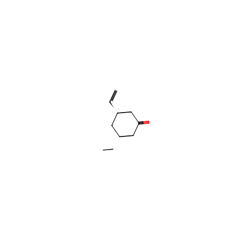 C=C[C@H]1CC(=O)C[C@H](C[N+](=O)[O-])C1